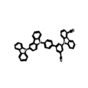 N#Cc1cc(-c2ccc(-n3c4ccccc4c4cc(-n5c6ccccc6c6ccccc65)ccc43)cc2)cc(-n2c3ccccc3c3c(C#N)cccc32)c1